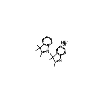 Br.Br.CC1=Nc2ccccc2C1(C)C.CC1=Nc2ccccc2C1(C)C